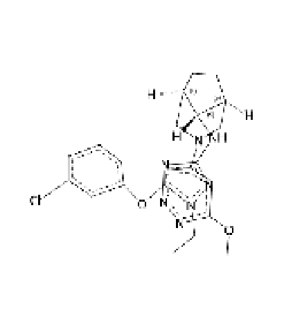 CCn1nc(N[C@@H]2[C@@H]3CC[C@H]2CN(c2cnnc(OC)c2)C3)nc1Oc1cccc(Cl)c1